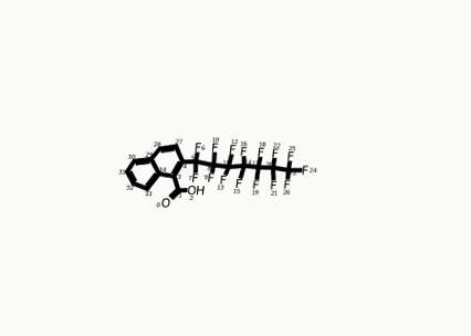 O=C(O)c1c(C(F)(F)C(F)(F)C(F)(F)C(F)(F)C(F)(F)C(F)(F)C(F)(F)F)ccc2ccccc12